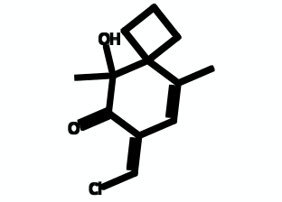 CC1=CC(=CCl)C(=O)C(C)(O)C12CCC2